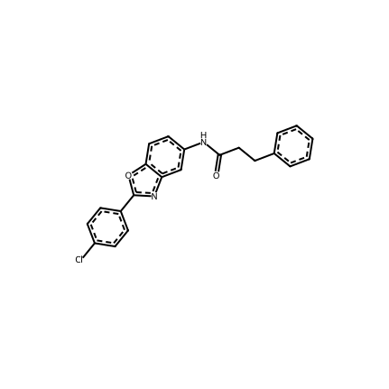 O=C(CCc1ccccc1)Nc1ccc2oc(-c3ccc(Cl)cc3)nc2c1